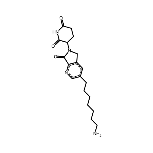 NCCCCCCCc1cnc2c(c1)CN(C1CCC(=O)NC1=O)C2=O